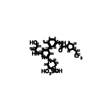 Cc1ccc(NC(=O)N2CCC(CC(F)(F)F)C2)cc1-c1cc(NC(C)CO)nc(N2CCOCC2)c1.O=S(=O)(O)O